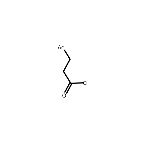 [CH2]C(=O)CCC(=O)Cl